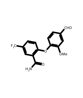 COc1cc(C=O)ccc1Oc1ccc(C(F)(F)F)cc1C(N)=O